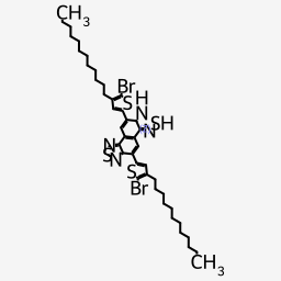 CCCCCCCCCCCCc1cc(C2=Cc3c(cc(-c4cc(CCCCCCCCCCCC)c(Br)s4)c4nsnc34)/C(=N/S)C2=N)sc1Br